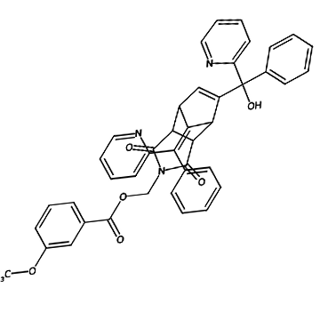 COc1cccc(C(=O)OCN2C(=O)C3C4C=C(C(O)(c5ccccc5)c5ccccn5)C(C4=C(c4ccccc4)c4ccccn4)C3C2=O)c1